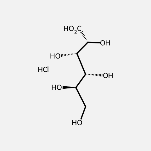 Cl.O=C(O)[C@H](O)[C@@H](O)[C@H](O)[C@H](O)CO